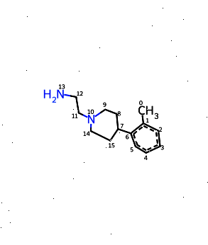 Cc1ccccc1C1CCN(CCN)CC1